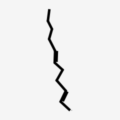 [CH2]/C=C/CC/C=C/CCCC